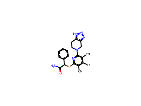 CCc1c(C#N)c(SC(C(N)=O)c2ccccc2)nc(N2CCc3[nH]nnc3C2)c1C#N